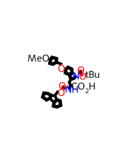 COc1ccc(COc2ccc3c(c2)c(C[C@H](NC(=O)OCC2c4ccccc4-c4ccccc42)C(=O)O)cn3C(=O)OC(C)(C)C)cc1